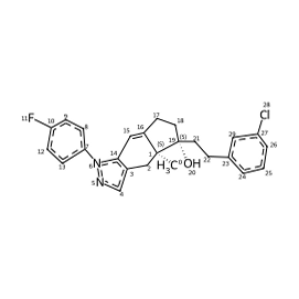 C[C@]12Cc3cnn(-c4ccc(F)cc4)c3C=C1CC[C@@]2(O)CCc1cccc(Cl)c1